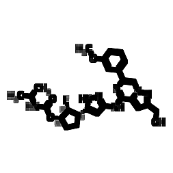 COc1cccc(-c2cn3nc(CO)cc3c(Nc3cc([C@@H]4CC[C@H](OC(=O)NC(C)C)[C@@H]4F)[nH]n3)n2)c1